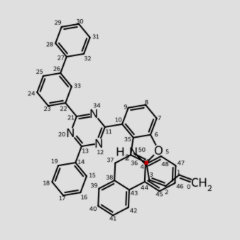 C=C/C=C\c1oc2cccc(-c3nc(-c4ccccc4)nc(-c4cccc(-c5ccccc5)c4)n3)c2c1Cc1ccccc1-c1ccccc1N